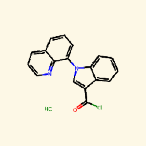 Cl.O=C(Cl)c1cn(-c2cccc3cccnc23)c2ccccc12